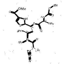 CCC[C@H](NC(=O)OC(C)(C)C)C(=O)O[C@H](C[C@H](C(C)C)N(CCC)C(=O)[C@@H](N=[N+]=[N-])[C@@H](C)CC)C1NC(C(=O)OC)=CS1